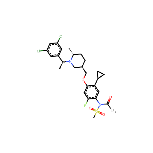 C[C@@H]1CC[C@@H](COc2cc(F)c(N(C(=O)C(F)(F)F)S(C)(=O)=O)cc2C2CC2)CN1[C@@H](C)c1cc(Cl)cc(Cl)c1